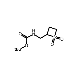 CC(C)(C)OC(=O)NCC1CCS1(=O)=O